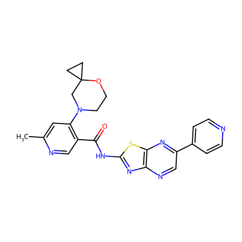 Cc1cc(N2CCOC3(CC3)C2)c(C(=O)Nc2nc3ncc(-c4ccncc4)nc3s2)cn1